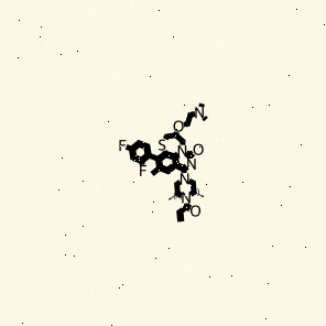 C=CC(=O)N1[C@H](C)CN(c2nc(=O)n3c4c(c(-c5ccc(F)cc5F)c(C)cc24)SCC(OCCN(C)C)C3)C[C@@H]1C